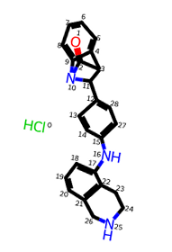 Cl.O=C1C2c3ccccc3N1C2c1ccc(Nc2cccc3c2CCNC3)cc1